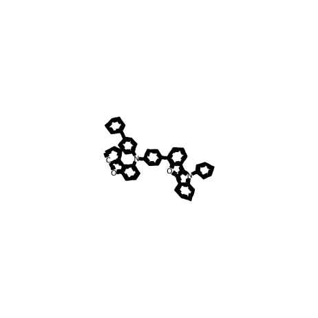 c1ccc(-c2ccc(N(c3ccc(-c4cccc5c4oc4c6ccccc6n(-c6ccccc6)c54)cc3)c3cccc4oc5ccccc5c34)cc2)cc1